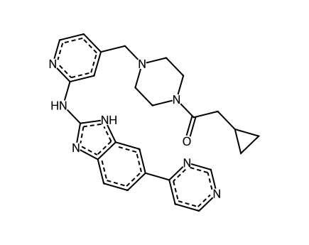 O=C(CC1CC1)N1CCN(Cc2ccnc(Nc3nc4ccc(-c5ccncn5)cc4[nH]3)c2)CC1